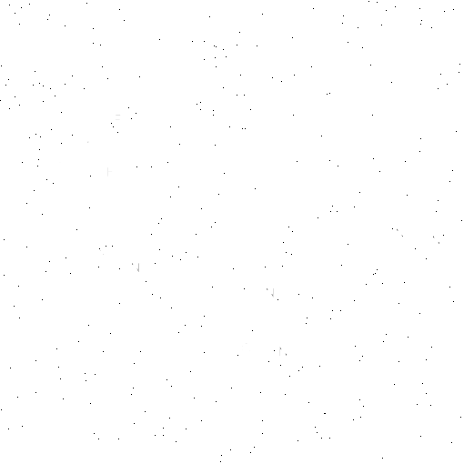 C=C(CCC(=O)N1CCC(c2nc(-c3ccc4cnn(C(C)C)c4c3)no2)CC1)C(F)(F)F